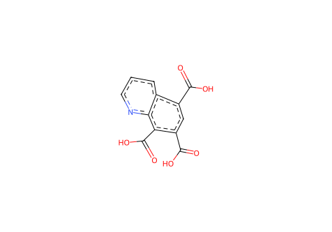 O=C(O)c1cc(C(=O)O)c2cccnc2c1C(=O)O